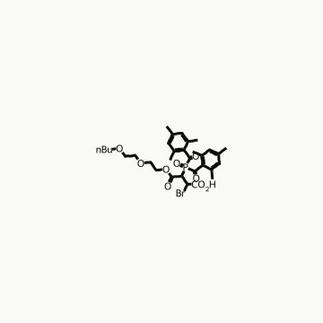 CCCCOCCOCCOC(=O)C(C(Br)C(=O)O)P(=O)(C(=O)c1c(C)cc(C)cc1C)C(=O)c1c(C)cc(C)cc1C